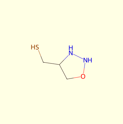 SCC1CONN1